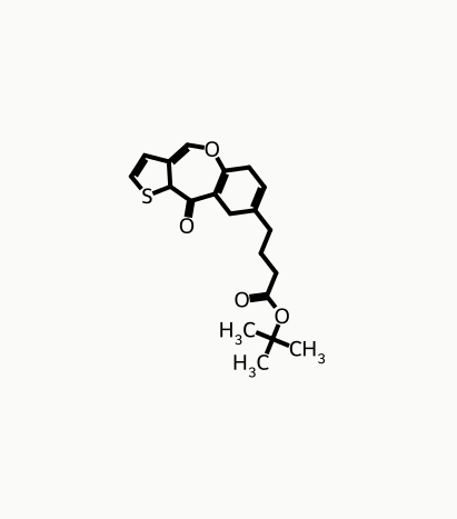 CC(C)(C)OC(=O)CCCC1=CCC2=C(C1)C(=O)C1SC=CC1=CO2